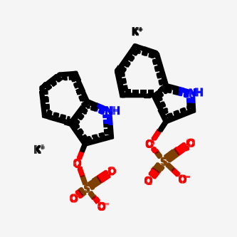 O=S(=O)([O-])Oc1c[nH]c2ccccc12.O=S(=O)([O-])Oc1c[nH]c2ccccc12.[K+].[K+]